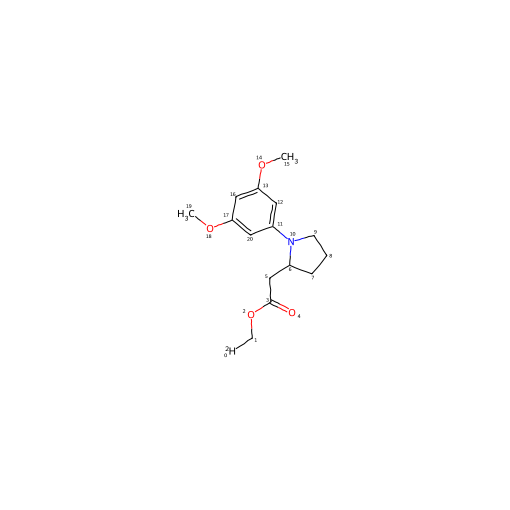 [2H]COC(=O)CC1CCCN1c1cc(OC)cc(OC)c1